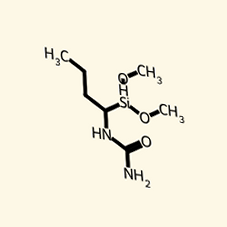 CCCC(NC(N)=O)[SiH](OC)OC